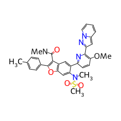 CNC(=O)c1c(-c2ccc(C)cc2)oc2cc(N(C)S(C)(=O)=O)c(-c3ccc(OC)c(-c4cc5ccccn5n4)n3)cc12